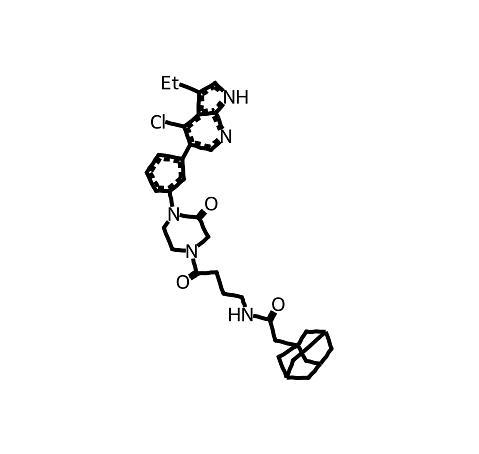 CCc1c[nH]c2ncc(-c3cccc(N4CCN(C(=O)CCCNC(=O)CC56CC7CC(CC(C7)C5)C6)CC4=O)c3)c(Cl)c12